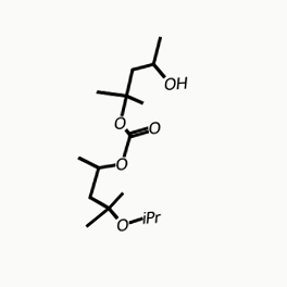 CC(O)CC(C)(C)OC(=O)OC(C)CC(C)(C)OC(C)C